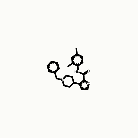 Cc1ccc(NC(=O)c2occc2C2CCN(Cc3ccccc3)CC2)c(C)c1